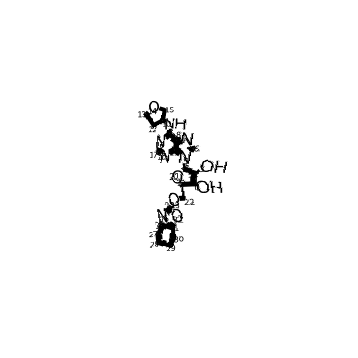 O[C@@H]1[C@H](O)[C@H](n2cnc3c(NC4CCOC4)ncnc32)O[C@@H]1COc1nc2ccccc2o1